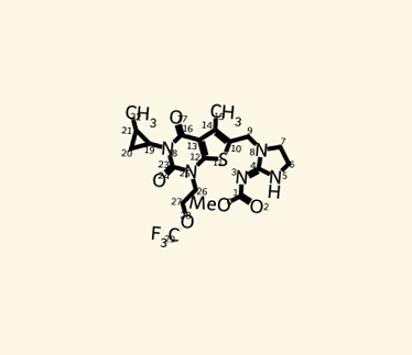 COC(=O)/N=C1\NCCN1Cc1sc2c(c1C)c(=O)n(C1CC1C)c(=O)n2CCOC(F)(F)F